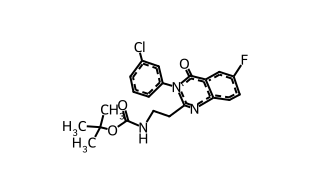 CC(C)(C)OC(=O)NCCc1nc2ccc(F)cc2c(=O)n1-c1cccc(Cl)c1